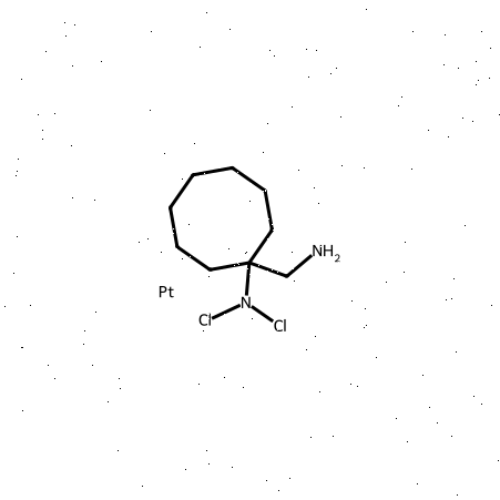 NCC1(N(Cl)Cl)CCCCCCC1.[Pt]